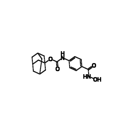 O=C(Nc1ccc(C(=O)NO)cc1)OC12CC3CC(CC(C3)C1)C2